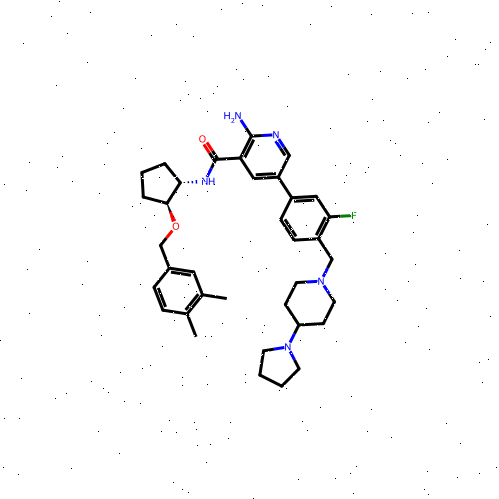 Cc1ccc(CO[C@H]2CCC[C@@H]2NC(=O)c2cc(-c3ccc(CN4CCC(N5CCCC5)CC4)c(F)c3)cnc2N)cc1C